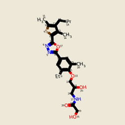 CCc1cc(-c2nnc(-c3sc(C)c(CC(C)C)c3C)o2)cc(C)c1OCC(O)CNC(=O)CO